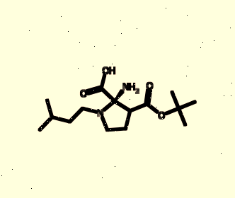 CC(C)CCN1CCC(C(=O)OC(C)(C)C)[C@@]1(N)C(=O)O